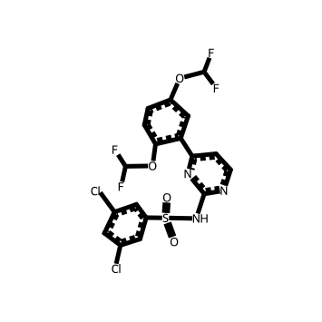 O=S(=O)(Nc1nccc(-c2cc(OC(F)F)ccc2OC(F)F)n1)c1cc(Cl)cc(Cl)c1